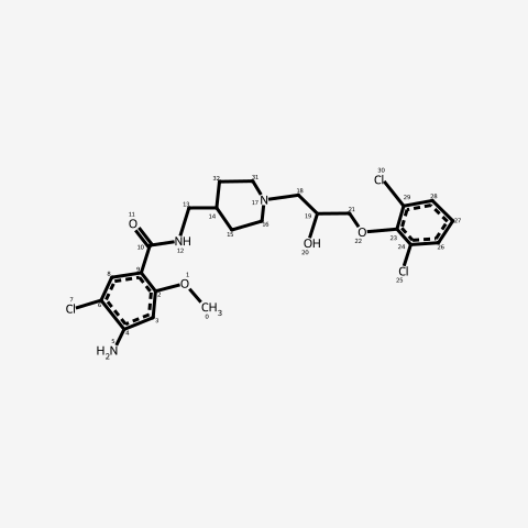 COc1cc(N)c(Cl)cc1C(=O)NCC1CCN(CC(O)COc2c(Cl)cccc2Cl)CC1